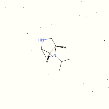 CC(C)N1CC2NC[C@H]1[C@@H]2C